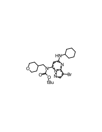 CC(C)(C)OC(=O)N(CC1CCOCC1)c1cc(NC2CCCCC2)nc2c(Br)cnn12